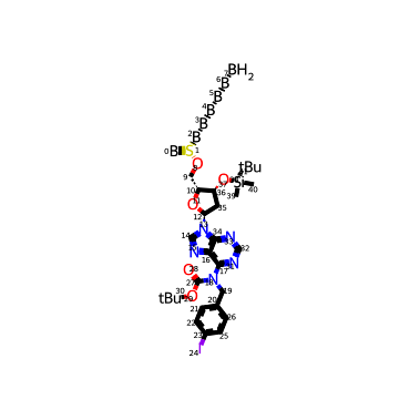 B#S(=BB=BB=BB)OC[C@H]1O[C@@H](n2cnc3c(N(Cc4ccc(I)cc4)C(=O)OC(C)(C)C)ncnc32)C[C@H]1O[Si](C)(C)C(C)(C)C